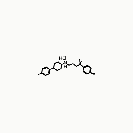 Cc1ccc(C2CCC(NCCCC(=O)c3ccc(F)cc3)CC2)cc1.Cl